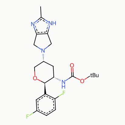 Cc1nc2c([nH]1)CN([C@H]1CO[C@H](c3cc(F)ccc3F)[C@@H](NC(=O)OC(C)(C)C)C1)C2